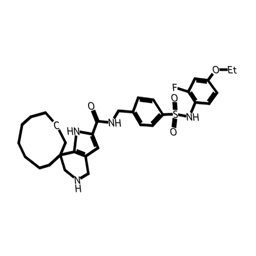 CCOc1ccc(NS(=O)(=O)c2ccc(CNC(=O)c3cc4c([nH]3)C3(CCCCCCCCC3)CNC4)cc2)c(F)c1